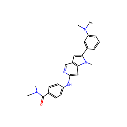 CC(=O)N(C)c1cccc(-c2cc3cnc(Nc4ccc(C(=O)N(C)C)cc4)cc3n2C)c1